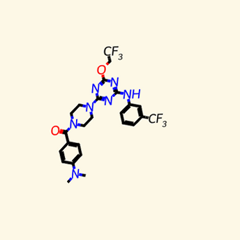 CN(C)c1ccc(C(=O)N2CCN(c3nc(Nc4cccc(C(F)(F)F)c4)nc(OCC(F)(F)F)n3)CC2)cc1